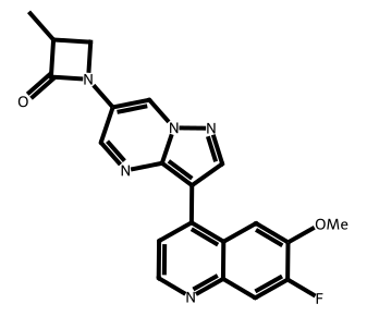 COc1cc2c(-c3cnn4cc(N5CC(C)C5=O)cnc34)ccnc2cc1F